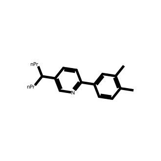 CCCC(CCC)c1ccc(-c2ccc(C)c(C)c2)nc1